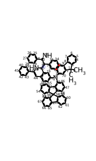 CC1(C)c2ccccc2-c2ccc(N(c3ccc4c(c3)/C(=C(/C(=N)c3ccccc3)c3ccccc3)NC(c3ccccc3)=C4)c3cccc4c3-c3ccccc3C43c4ccccc4-c4ccccc43)cc21